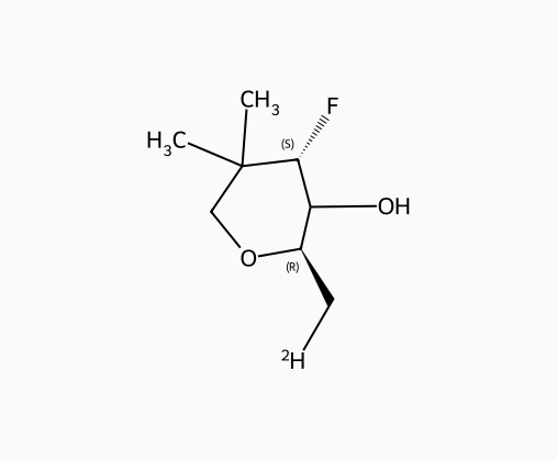 [2H]C[C@H]1OCC(C)(C)[C@H](F)C1O